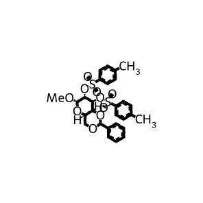 CO[C@@H]1O[C@@H]2COC(c3ccccc3)O[C@@H]2[C@H](OS(=O)(=O)c2ccc(C)cc2)[C@H]1OS(=O)(=O)c1ccc(C)cc1